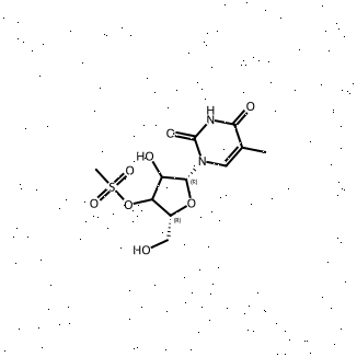 Cc1cn([C@@H]2O[C@H](CO)C(OS(C)(=O)=O)C2O)c(=O)[nH]c1=O